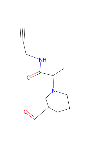 C#CCNC(=O)C(C)N1CCCC(C=O)C1